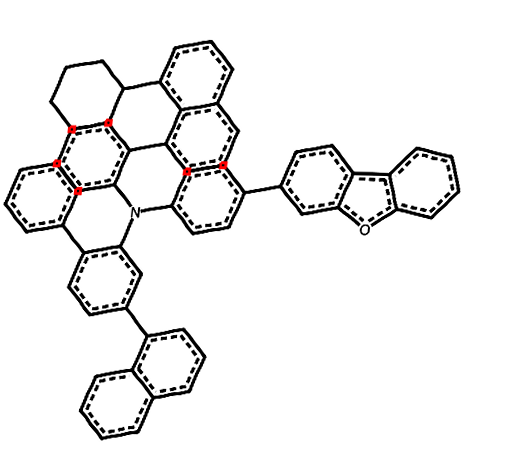 c1ccc(-c2ccc(-c3cccc4ccccc34)cc2N(c2ccc(-c3ccc4c(c3)oc3ccccc34)cc2)c2ccccc2-c2cccc3cccc(C4CCCCC4)c23)cc1